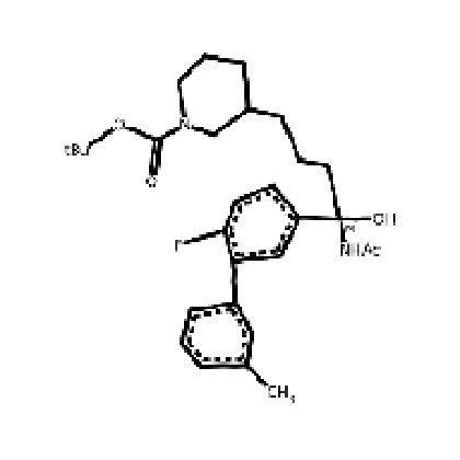 CC(=O)N[C@](O)(CCCC1CCCN(C(=O)OC(C)(C)C)C1)c1ccc(F)c(-c2cccc(C)c2)c1